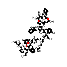 CCCC[C@@H](C(=O)N1CCC[C@@H]1C(=O)N[C@H](C=O)CC(=O)O)N(C)C(=O)[C@H](Cc1ccccc1)N(C)C(=O)[C@H](Cc1cc(F)c(F)c(F)c1)NC(=O)CSC[C@@H](COCNCC(N)=O)NC(=O)[C@H](CCO)NC(=O)[C@H](Cc1ccc(O)cc1)NC(=O)[C@H](Cc1c[nH]c2ccccc12)NC(=O)[C@H]1C[C@@H](O)CN1C(=O)[C@H](CC(=O)O)NC(=O)[C@H](Cc1ccccc1)N(C)C(=O)[C@@H](N)C(C)C